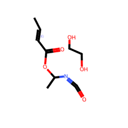 C/C=C/C(=O)OC(C)N=C=O.OCCO